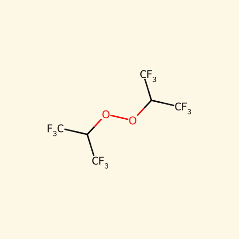 FC(F)(F)C(OOC(C(F)(F)F)C(F)(F)F)C(F)(F)F